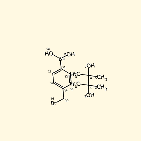 CC(C)(O)C(C)(C)O.OB(O)c1ccc(CBr)cc1